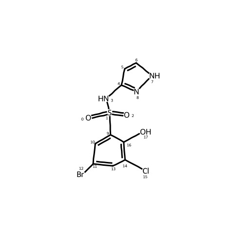 O=S(=O)(Nc1cc[nH]n1)c1cc(Br)cc(Cl)c1O